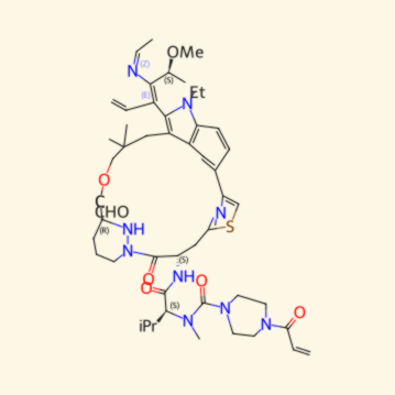 C=CC(=O)N1CCN(C(=O)N(C)[C@H](C(=O)N[C@H]2Cc3nc(cs3)-c3ccc4c(c3)c(c(/C(C=C)=C(/N=C\C)[C@H](C)OC)n4CC)CC(C)(C)COC[C@@]3(C=O)CCCN(N3)C2=O)C(C)C)CC1